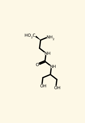 N[C@@H](CNC(=O)NC(CO)CO)C(=O)O